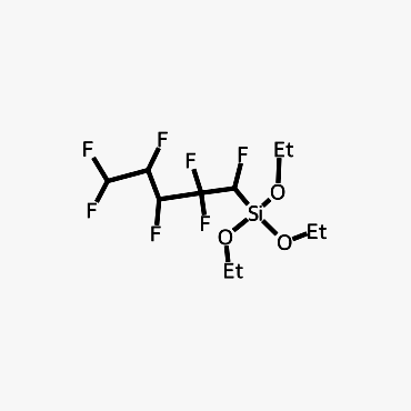 CCO[Si](OCC)(OCC)C(F)C(F)(F)C(F)C(F)C(F)F